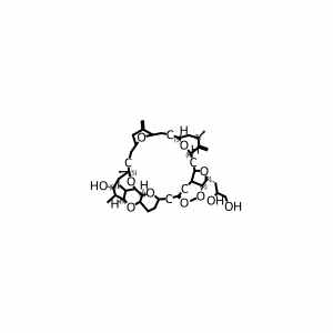 C=C1CC2CC[C@@]3(C)C[C@@H](O)C(C)[C@@H]4OC5CCC(CC(=O)CC6C(C[C@H]7O[C@@H](CCC1O2)C[C@@H](C)C7=C)O[C@H](CC(O)CO)[C@@H]6OC)O[C@@H]5C(O3)C4I